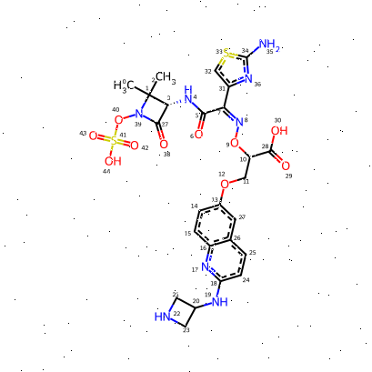 CC1(C)[C@H](NC(=O)/C(=N\OC(COc2ccc3nc(NC4CNC4)ccc3c2)C(=O)O)c2csc(N)n2)C(=O)N1OS(=O)(=O)O